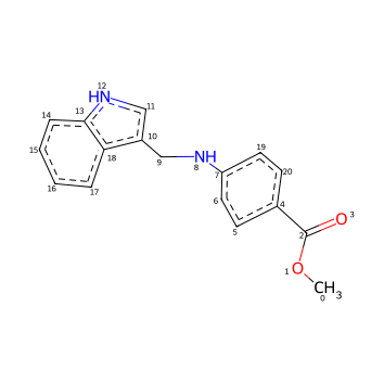 COC(=O)c1ccc(NCc2c[nH]c3ccccc23)cc1